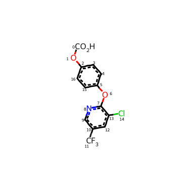 O=C(O)Oc1ccc(Oc2ncc(C(F)(F)F)cc2Cl)cc1